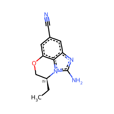 CC[C@H]1COc2cc(C#N)cc3nc(N)n1c23